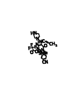 CC#CCn1c(N2CCNCC2)nc2nc(SC)n(Cc3ccc(C#N)cc3)c(=O)c21.O=C(O)C(F)(F)F